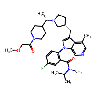 COCC(=O)N1CCC([C@H](C)N2CC[C@H](Cc3cn(-c4ccc(F)cc4C(=O)N(C)C(C)C)c4cncc(C)c34)C2)CC1